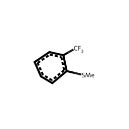 [CH2]Sc1ccccc1C(F)(F)F